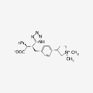 CCC[C@H](C(=O)[O-])[C@H](Cc1ccc(C2CC[N+](C)(C)C2)cc1)c1nnn[nH]1